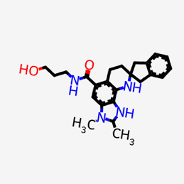 CC1Nc2c(cc(C(=O)NCCCO)c3c2NC2(CC3)Cc3ccccc3C2)N1C